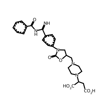 N=C(NC(=O)c1ccccc1)c1ccc(N2CC(CN3CCN(C(CC(=O)O)C(=O)O)CC3)OC2=O)cc1